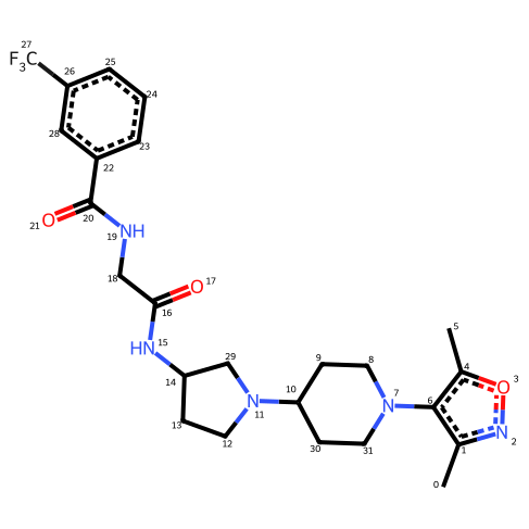 Cc1noc(C)c1N1CCC(N2CCC(NC(=O)CNC(=O)c3cccc(C(F)(F)F)c3)C2)CC1